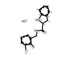 Cl.O=C(NCc1cccc(Cl)c1F)C1Cc2ccccc2N1